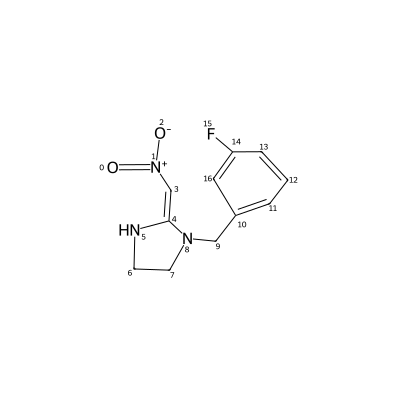 O=[N+]([O-])C=C1NCCN1Cc1cccc(F)c1